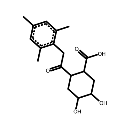 Cc1cc(C)c(CC(=O)C2CC(O)C(O)CC2C(=O)O)c(C)c1